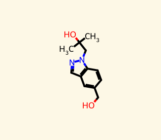 CC(C)(O)Cn1ncc2cc(CO)ccc21